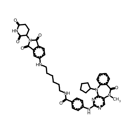 CN1C(=O)c2ccccc2N(C2CCCC2)c2nc(Nc3ccc(C(=O)NCCCCCCNc4ccc5c(c4)C(=O)N(C4CCC(=O)NC4=O)C5=O)cc3)ncc21